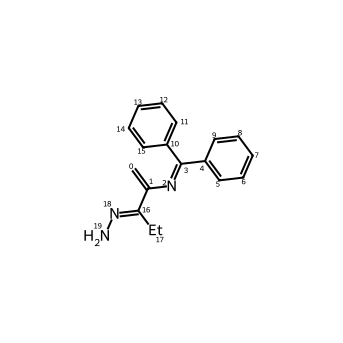 C=C(N=C(c1ccccc1)c1ccccc1)/C(CC)=N/N